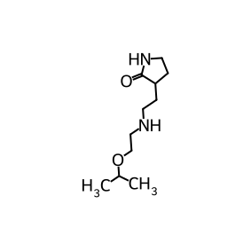 CC(C)OCCNCCC1CCNC1=O